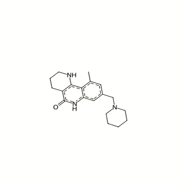 Cc1cc(CN2CCCCC2)cc2[nH]c(=O)c3c(c12)NCCC3